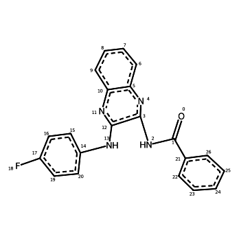 O=C(Nc1nc2ccccc2nc1Nc1ccc(F)cc1)c1ccccc1